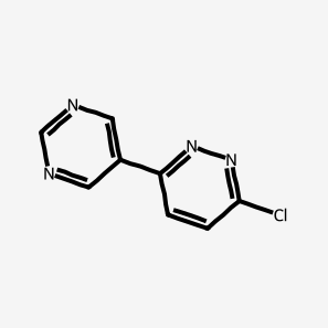 Clc1ccc(-c2cncnc2)nn1